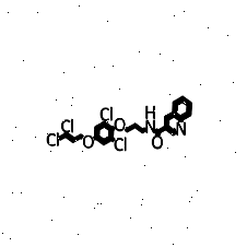 O=C(NCCCOc1c(Cl)cc(OCC=C(Cl)Cl)cc1Cl)c1cnc2ccccc2c1